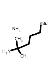 CCCCCCCC(C)(C)N.N